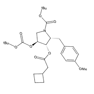 COc1ccc(C[C@@H]2[C@H](OC(=O)CC3CCC3)[C@@H](OC(=O)OC(C)(C)C)CN2C(=O)OC(C)(C)C)cc1